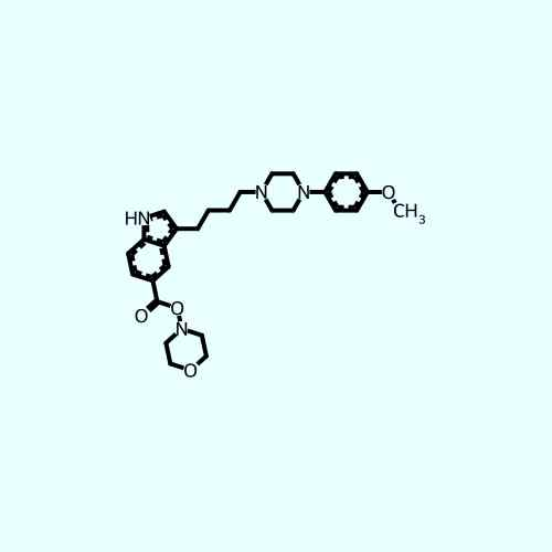 COc1ccc(N2CCN(CCCCc3c[nH]c4ccc(C(=O)ON5CCOCC5)cc34)CC2)cc1